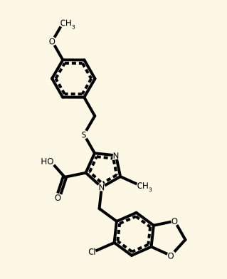 COc1ccc(CSc2nc(C)n(Cc3cc4c(cc3Cl)OCO4)c2C(=O)O)cc1